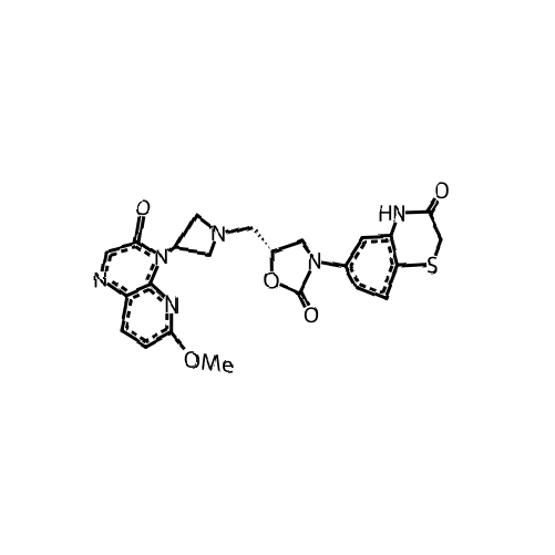 COc1ccc2ncc(=O)n(C3CN(C[C@@H]4CN(c5ccc6c(c5)NC(=O)CS6)C(=O)O4)C3)c2n1